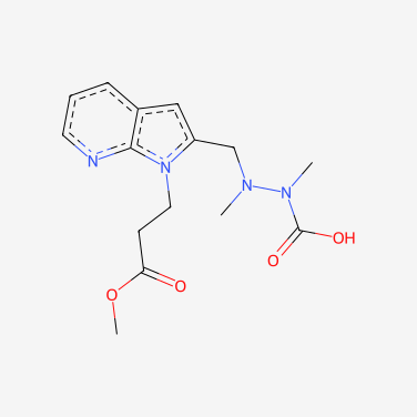 COC(=O)CCn1c(CN(C)N(C)C(=O)O)cc2cccnc21